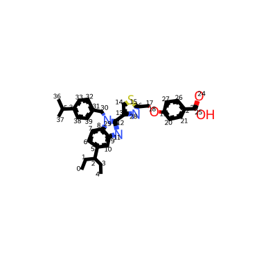 CCC(CC)c1ccc2c(c1)nc(-c1csc(COc3ccc(C(=O)O)cc3)n1)n2Cc1ccc(C(C)C)cc1